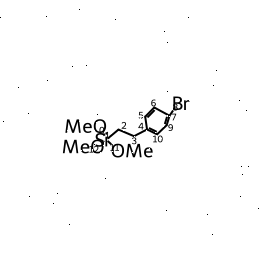 CO[Si](CCc1ccc(Br)cc1)(OC)OC